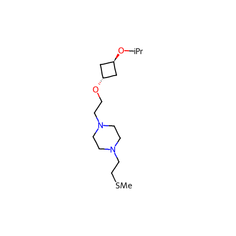 CSCCN1CCN(CCO[C@H]2C[C@H](OC(C)C)C2)CC1